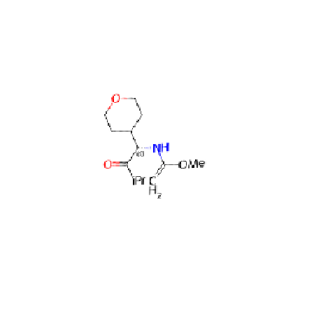 C=C(N[C@H](C(=O)C(C)C)C1CCOCC1)OC